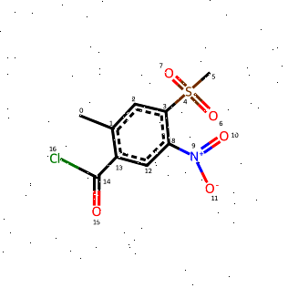 Cc1cc(S(C)(=O)=O)c([N+](=O)[O-])cc1C(=O)Cl